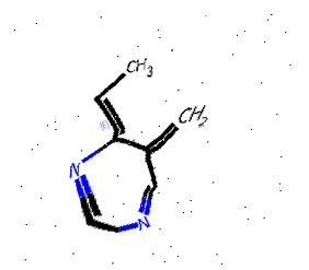 C=c1cncn/c1=C/C